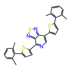 Cc1cccc(C)c1-c1ccc(-c2cnc(-c3ccc(-c4c(C)cccc4C)s3)c3nsnc23)s1